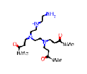 CNC(=O)CCN(CCNCCN)CCN(CCC(=O)NC)CCC(=O)NC